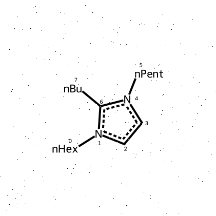 CCCCCC[n+]1ccn(CCCCC)c1CCCC